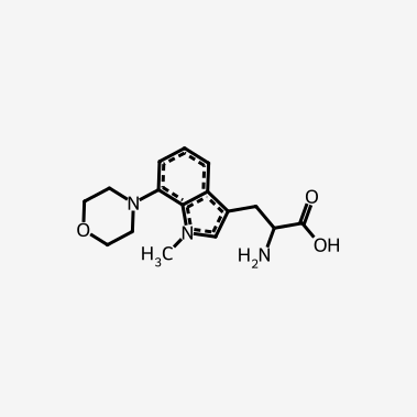 Cn1cc(CC(N)C(=O)O)c2cccc(N3CCOCC3)c21